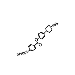 CCCCCCCc1ccc(C(=O)Oc2ccc(C3CCC(CCC)CC3)cc2)cc1